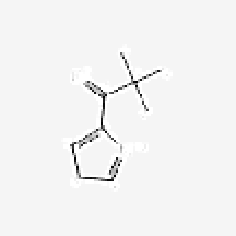 CC(C)(C)C(=O)C1=CCC=N1